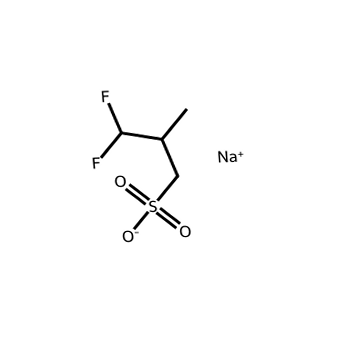 CC(CS(=O)(=O)[O-])C(F)F.[Na+]